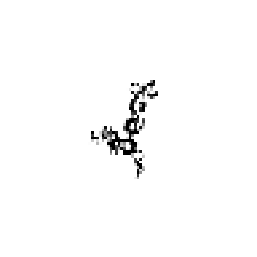 CCN(CC)C(=O)N1CCN(c2ccc(-c3cc(OCCF)cn4nc5[nH]ncc5c34)cn2)CC1